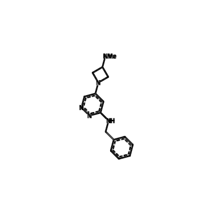 CNC1CN(c2cnnc(NCc3ccccc3)c2)C1